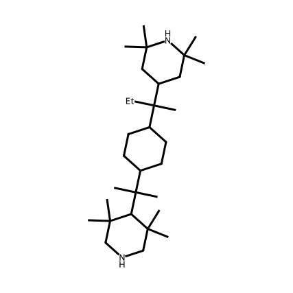 CCC(C)(C1CCC(C(C)(C)C2C(C)(C)CNCC2(C)C)CC1)C1CC(C)(C)NC(C)(C)C1